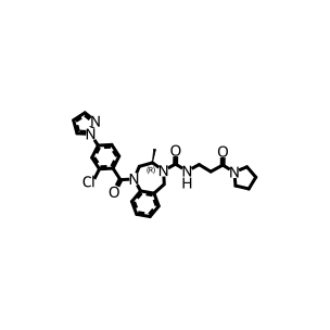 C[C@@H]1CN(C(=O)c2ccc(-n3cccn3)cc2Cl)c2ccccc2CN1C(=O)NCCC(=O)N1CCCC1